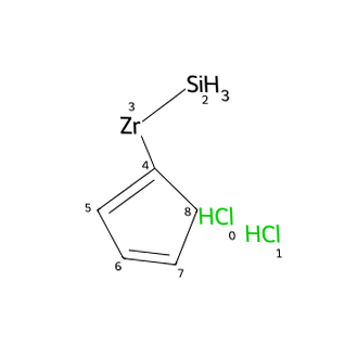 Cl.Cl.[SiH3][Zr][C]1=CC=CC1